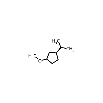 COC1CC[C@H](C(C)C)C1